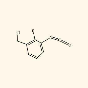 O=C=Nc1cccc(CCl)c1F